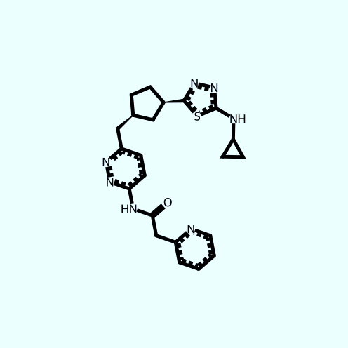 O=C(Cc1ccccn1)Nc1ccc(C[C@H]2CC[C@@H](c3nnc(NC4CC4)s3)C2)nn1